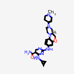 CN1CCC(N2CCN3c4ccc(Nc5ncc(C(N)=O)c(NC6CC6)n5)cc4OC[C@@H]3C2)CC1